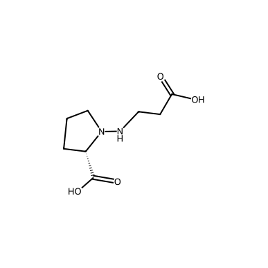 O=C(O)CCNN1CCC[C@H]1C(=O)O